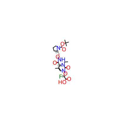 CCN1C(=O)N(O[C@@H](F)C(=O)O)C=C(C)[C@H]1C(=O)NOC[C@@H]1CCCN1C(=O)OC(C)(C)C